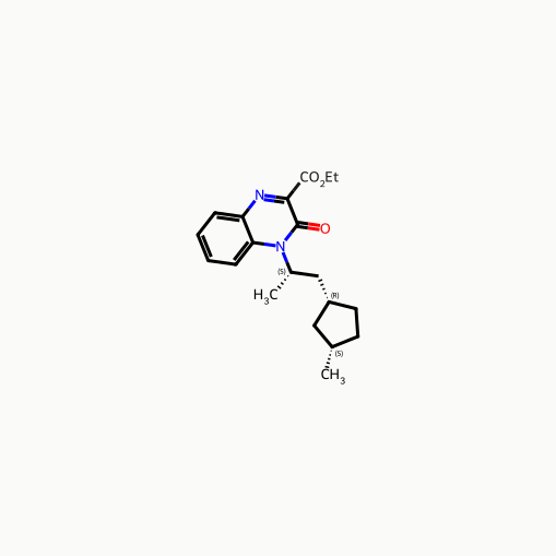 CCOC(=O)c1nc2ccccc2n([C@@H](C)C[C@@H]2CC[C@H](C)C2)c1=O